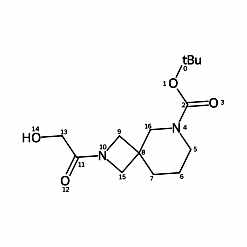 CC(C)(C)OC(=O)N1CCCC2(CN(C(=O)CO)C2)C1